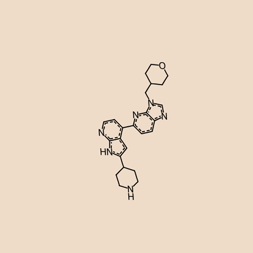 c1cc(-c2ccc3ncn(CC4CCOCC4)c3n2)c2cc(C3CCNCC3)[nH]c2n1